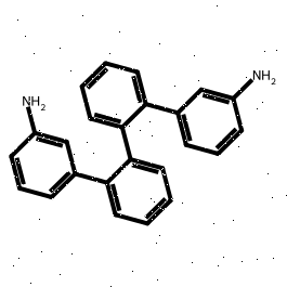 Nc1cccc(-c2ccccc2-c2ccccc2-c2cccc(N)c2)c1